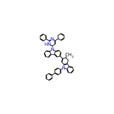 CC1Cc2c(n(-c3ccc(-c4ccccc4)cc3)c3ccccc23)C=C1c1ccc2c(c1)c1ccccc1n2C1C=C(C2C=CC=CC2)N=C(c2ccccc2)N1